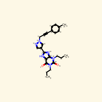 CCCn1c(=O)c2[nH]c(-c3cnn(CC#Cc4ccc(C)cc4)c3)nc2n(CCC)c1=O